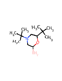 BC1CN(C(C)(C)C)CC(C(C)(C)C)O1